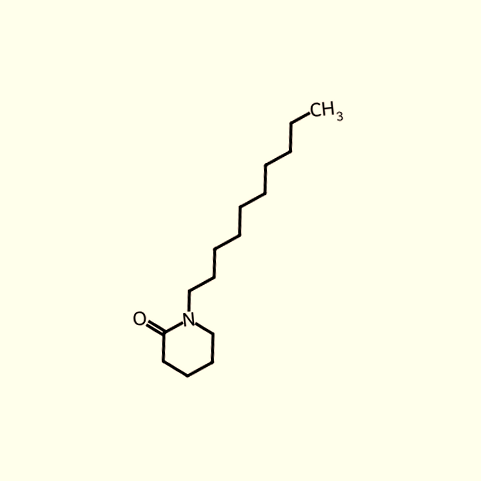 CCCCCCCCCCN1CCCCC1=O